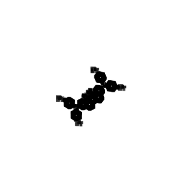 CC(C)c1ccc(N(c2ccc(C(C)C)cc2)c2ccc3c4c(ccc3c2)-c2ccc3cc(N(c5ccc(C(C)C)cc5)c5ccc(C(C)C)cc5)ccc3c2C4([Si](C)(C)C)[Si](C)(C)C)cc1